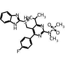 CC(C)c1nc(N(C)S(C)(=O)=O)nc(-c2ccc(F)cc2)c1C[S+]([O-])c1nc2ccccc2[nH]1